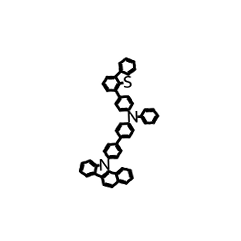 c1ccc(N(c2ccc(-c3ccc(-n4c5ccccc5c5ccc6ccccc6c54)cc3)cc2)c2ccc(-c3cccc4c3sc3ccccc34)cc2)cc1